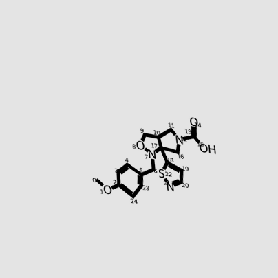 COc1ccc(CN2OCC3CN(C(=O)O)CC32c2ccns2)cc1